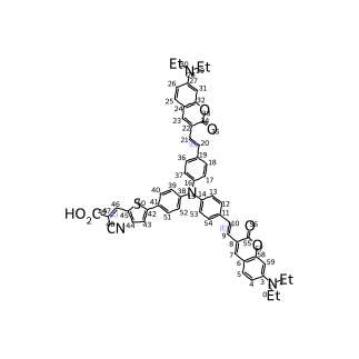 CCN(CC)c1ccc2cc(/C=C/c3ccc(N(c4ccc(/C=C/c5cc6ccc(N(CC)CC)cc6oc5=O)cc4)c4ccc(-c5ccc(/C=C(\C#N)C(=O)O)s5)cc4)cc3)c(=O)oc2c1